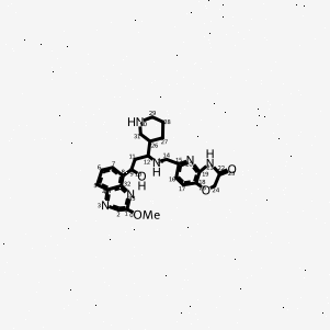 COc1cnc2cccc(C(O)CC(NCc3ccc4c(n3)NC(=O)CO4)C3CCCNC3)c2n1